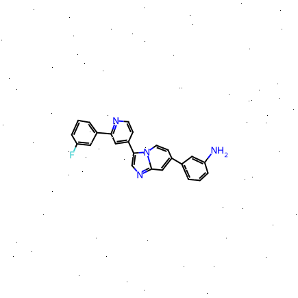 Nc1cccc(-c2ccn3c(-c4ccnc(-c5cccc(F)c5)c4)cnc3c2)c1